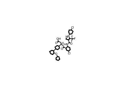 O=C(O)CC(NC(=O)c1cc(Cl)ccc1NC(=O)c1cnn(-c2ccc(Cl)cc2)c1C(F)(F)F)c1ccc(-c2ccccc2Oc2ccccc2)cc1